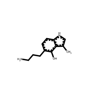 Cc1c[nH]c2ccc(CCCN)c(O)c12